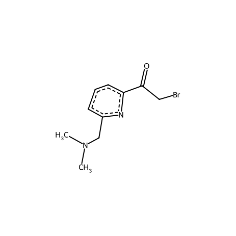 CN(C)Cc1cccc(C(=O)CBr)n1